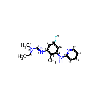 CCN(C)/C=N/c1cc(F)cc(Nc2ccccn2)c1C